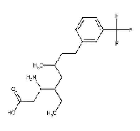 CCC(CC(C)CCc1cccc(C(F)(F)F)c1)C(N)CC(=O)O